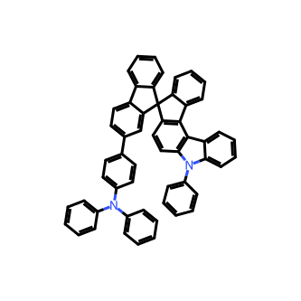 c1ccc(N(c2ccccc2)c2ccc(-c3ccc4c(c3)C3(c5ccccc5-4)c4ccccc4-c4c3ccc3c4c4ccccc4n3-c3ccccc3)cc2)cc1